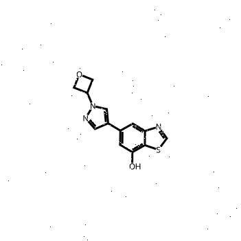 Oc1cc(-c2cnn(C3COC3)c2)cc2ncsc12